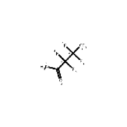 NC(=O)C(F)(F)C(F)(F)C(F)(F)F